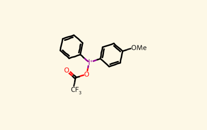 COc1ccc([I+](OC(=O)C(F)(F)F)c2ccccc2)cc1